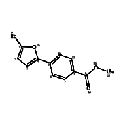 CCc1ccc(-c2ccc(C(=O)OC(C)(C)C)cc2)o1